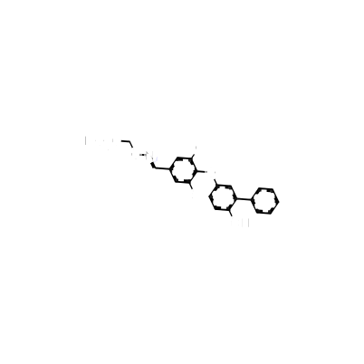 O=C(O)CO/N=C/c1cc(Cl)c(Oc2ccc(O)c(-c3ccccc3)c2)c(Cl)c1